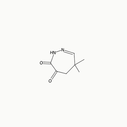 CC1(C)C=NNC(=O)C(=O)C1